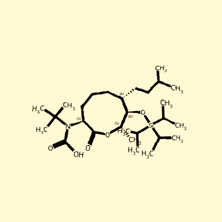 CC(C)CC[C@H]1CCC[C@H](N(C(=O)O)C(C)(C)C)C(=O)O[C@@H](C)[C@@H]1O[Si](C(C)C)(C(C)C)C(C)C